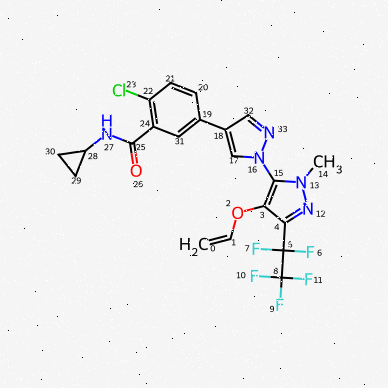 C=COc1c(C(F)(F)C(F)(F)F)nn(C)c1-n1cc(-c2ccc(Cl)c(C(=O)NC3CC3)c2)cn1